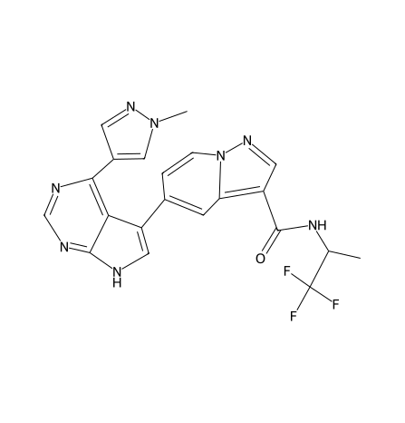 CC(NC(=O)c1cnn2ccc(-c3c[nH]c4ncnc(-c5cnn(C)c5)c34)cc12)C(F)(F)F